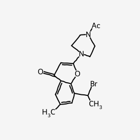 CC(=O)N1CCN(c2cc(=O)c3cc(C)cc(C(C)Br)c3o2)CC1